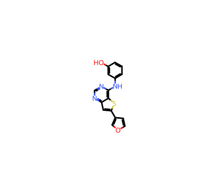 Oc1cccc(Nc2ncnc3cc(-c4ccoc4)sc23)c1